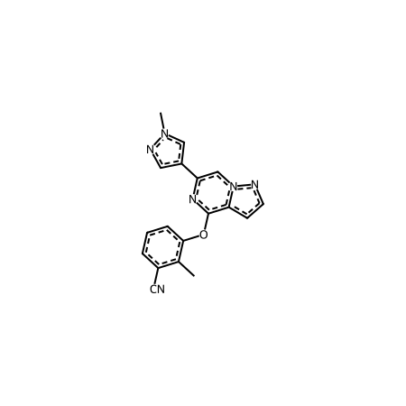 Cc1c(C#N)cccc1Oc1nc(-c2cnn(C)c2)cn2nccc12